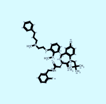 COc1c(OCCN(C)CCCc2ccccc2)cccc1[C@H]1O[C@H](CC(=O)NCc2ccccc2F)C(=O)N(CC(C)(C)C)c2ccc(Cl)cc21